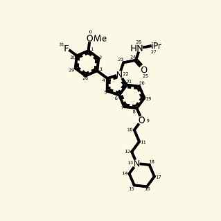 COc1cc(-c2cc3cc(OCCCN4CCCCC4)ccc3n2CC(=O)NC(C)C)ccc1F